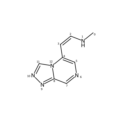 CN/C=C\c1cncc2nncn12